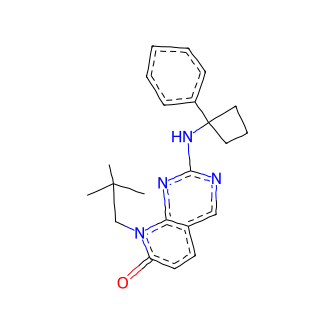 CC(C)(C)Cn1c(=O)ccc2cnc(NC3(c4ccccc4)CCC3)nc21